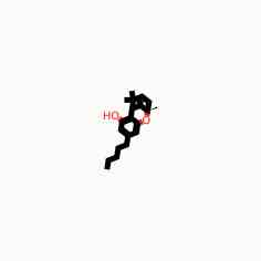 CCCCCc1cc(O)c2c(c1)O[C@]1(C)CCC(C)(C)C2[C@H]1C